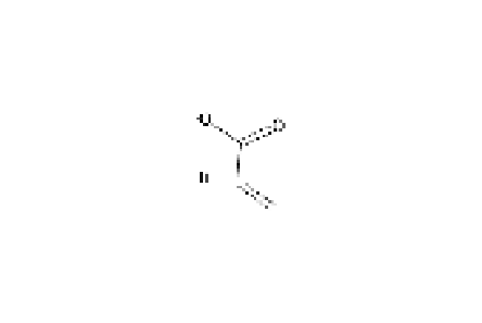 C=CC([O])=O.[Ti]